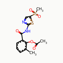 CC(=O)Oc1c(C)cccc1C(=O)Nc1ncc(S(C)(=O)=O)s1